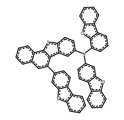 c1ccc2c(c1)cc(-c1ccc3c(c1)sc1ccccc13)c1c3cc(N(c4ccc5c(c4)oc4ccccc45)c4cccc5c4oc4ccccc45)ccc3sc21